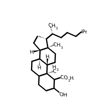 CC(C)CCC[C@@H](C)[C@H]1CC[C@H]2[C@@H]3CCC4CCC(O)C(C(=O)O)[C@]4(C)[C@H]3CC[C@]12C